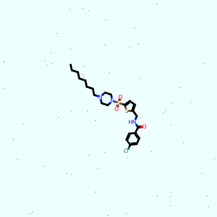 CCCCCCCCN1CCN(S(=O)(=O)c2ccc(CNC(=O)c3ccc(Cl)cc3)s2)CC1